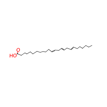 CCCCCCC=CCC=CCC=CCCCCCCCCCCC(=O)O